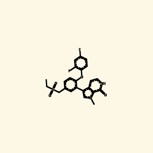 CCS(=O)(=O)Cc1ccc(Oc2ccc(F)cc2F)c(-c2cn(C)c3c(=O)[nH]ccc23)c1